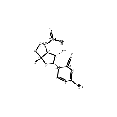 C[C@]1(CO)O[C@@H](n2ccc(N)nc2=O)[C@@H](F)C1O[PH](=O)S